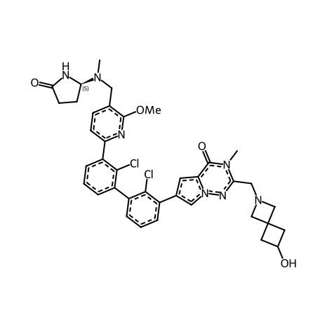 COc1nc(-c2cccc(-c3cccc(-c4cc5c(=O)n(C)c(CN6CC7(CC(O)C7)C6)nn5c4)c3Cl)c2Cl)ccc1CN(C)[C@H]1CCC(=O)N1